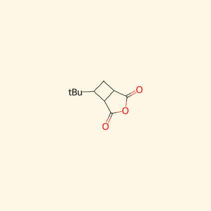 CC(C)(C)C1CC2C(=O)OC(=O)C21